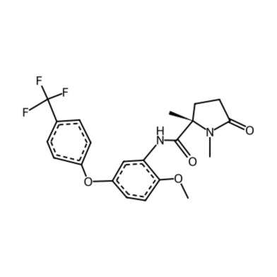 COc1ccc(Oc2ccc(C(F)(F)F)cc2)cc1NC(=O)[C@]1(C)CCC(=O)N1C